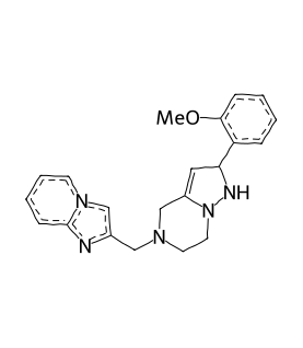 COc1ccccc1C1C=C2CN(Cc3cn4ccccc4n3)CCN2N1